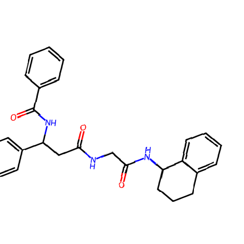 O=C(CC(NC(=O)c1ccccc1)c1ccccc1)NCC(=O)NC1CCCc2ccccc21